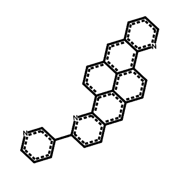 c1cncc(-c2ccc3cc4ccc5c6ncccc6cc6ccc(c3n2)c4c65)c1